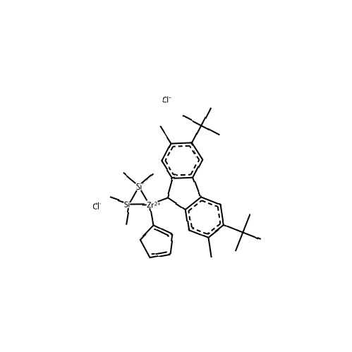 Cc1cc2c(cc1C(C)(C)C)-c1cc(C(C)(C)C)c(C)cc1[CH]2[Zr+2]1([C]2=CC=CC2)[Si](C)(C)[Si]1(C)C.[Cl-].[Cl-]